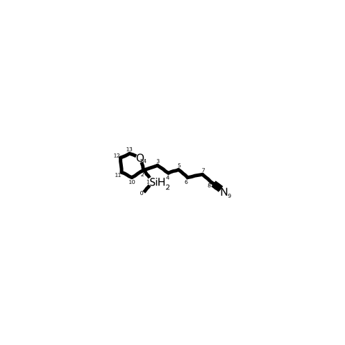 C[SiH2]C1(CCCCCC#N)CCCCO1